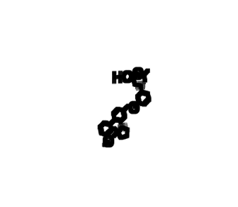 CCC[C@@H](CC(=O)O)c1cccc(OCc2ccc(-c3cccc(OC)c3)c([C@H]3CCCC3(C)C)c2)c1